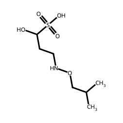 CC(C)CONCCC(O)S(=O)(=O)O